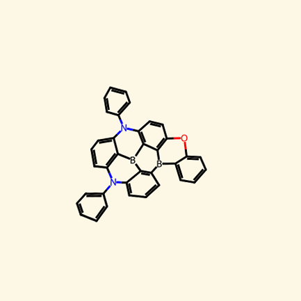 c1ccc(N2c3cccc4c3B3c5c2cccc5N(c2ccccc2)c2ccc5c(c23)B4c2ccccc2O5)cc1